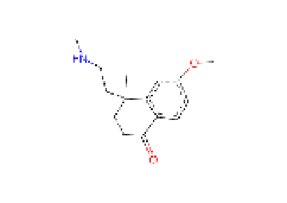 CNCCC1(C)CCC(=O)c2ccc(OC)cc21